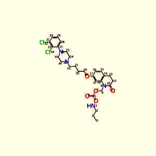 CCCNOC(=O)OCN1C(=O)CCc2ccc(OCCCCN3CCN(c4cccc(Cl)c4Cl)CC3)cc21